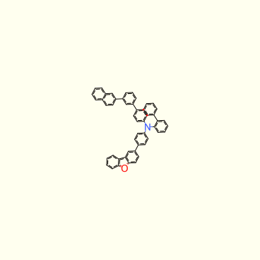 c1ccc(-c2ccccc2N(c2ccc(-c3cccc(-c4ccc5ccccc5c4)c3)cc2)c2ccc(-c3ccc4oc5ccccc5c4c3)cc2)cc1